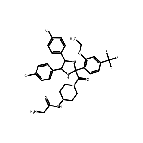 CCOc1cc(C(F)(F)F)ccc1C1(C(=O)N2CCC(NC(=O)CN)CC2)NC(c2ccc(Cl)cc2)C(c2ccc(Cl)cc2)N1